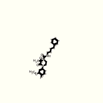 COc1cc(N2CCN(C(=O)NCCCCc3ccccc3)C(C)(C)C2=O)ccc1F